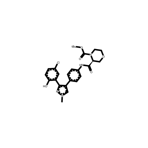 Cn1cc(-c2ccc(NC(=O)[C@@H]3COCCN3C(=O)OC(C)(C)C)cc2)c(-c2cc(Cl)ccc2O)n1